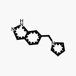 [c]1ccn(Cc2ccc3cn[nH]c3c2)c1